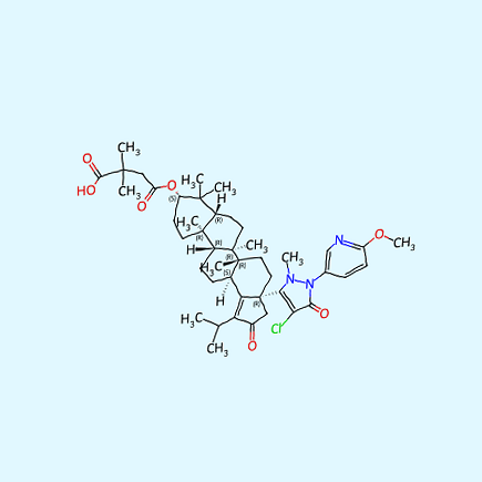 COc1ccc(-n2c(=O)c(Cl)c([C@@]34CC[C@]5(C)[C@H](CC[C@@H]6[C@@]7(C)CC[C@H](OC(=O)CC(C)(C)C(=O)O)C(C)(C)[C@@H]7CC[C@]65C)C3=C(C(C)C)C(=O)C4)n2C)cn1